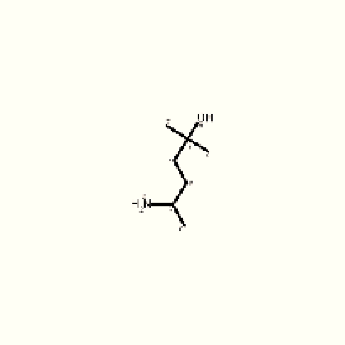 CC(N)CCC(C)(C)O